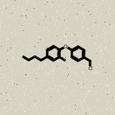 CCCCc1ccc(Oc2ccc(CCl)cc2)c(C)c1